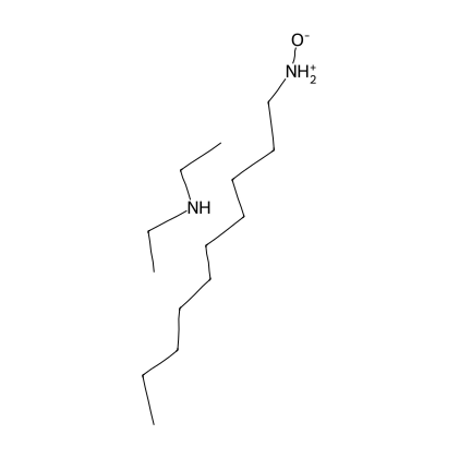 CCCCCCCCCC[NH2+][O-].CCNCC